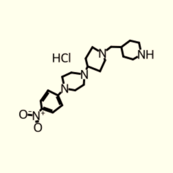 Cl.O=[N+]([O-])c1ccc(N2CCN(C3CCN(CC4CCNCC4)CC3)CC2)cc1